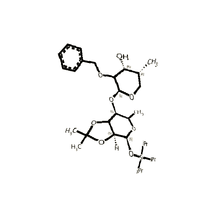 CC1O[C@@H](O[Si](C(C)C)(C(C)C)C(C)C)[C@H]2OC(C)(C)OC2[C@H]1O[C@@H]1OC[C@@H](C)[C@@H](O)C1OCc1ccccc1